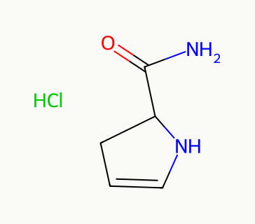 Cl.NC(=O)C1CC=CN1